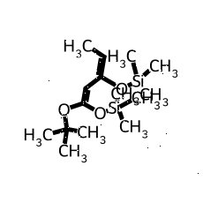 C/C=C(\C=C(\OC(C)(C)C)O[Si](C)(C)C)O[Si](C)(C)C